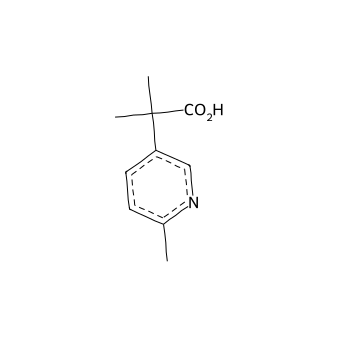 Cc1ccc(C(C)(C)C(=O)O)cn1